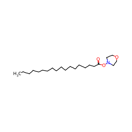 CCCCCCCCCCCCCCCCCC(=O)ON1CCOCC1